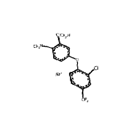 O=C(O)c1cc(Oc2ccc(C(F)(F)F)cc2Cl)ccc1[N+](=O)[O-].[Na+]